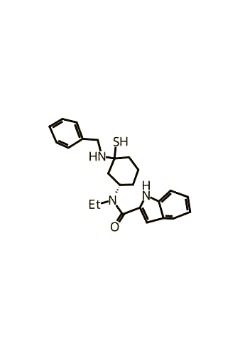 CCN(C(=O)c1cc2ccccc2[nH]1)[C@H]1CCCC(S)(NCc2ccccc2)C1